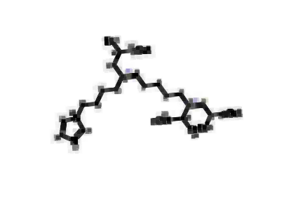 CCCCCCCCC(/C=C(/CCCC/C=C(\CCCCn1ccnc1)CC(CC)CCCCCCCC)C(CC)CCCCCCCC)CC